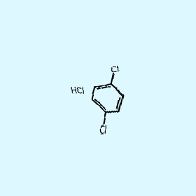 Cl.Clc1ccc(Cl)cc1